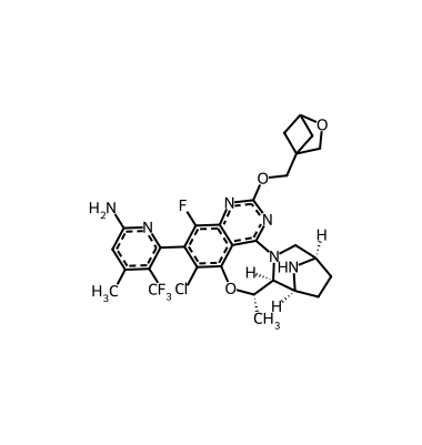 Cc1cc(N)nc(-c2c(Cl)c3c4c(nc(OCC56COC(C5)C6)nc4c2F)N2C[C@H]4CC[C@H](N4)[C@H]2[C@H](C)O3)c1C(F)(F)F